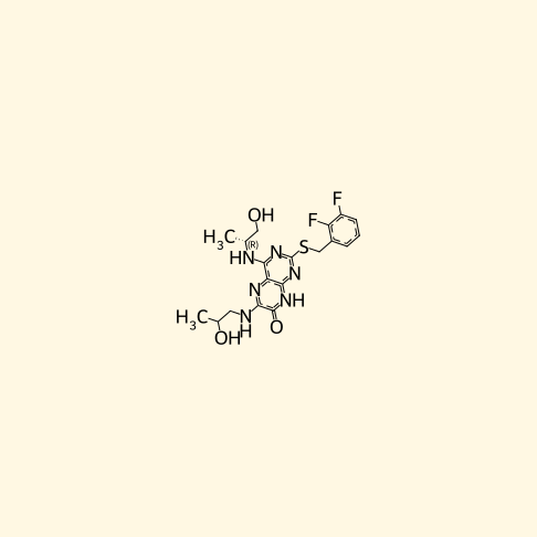 CC(O)CNc1nc2c(N[C@H](C)CO)nc(SCc3cccc(F)c3F)nc2[nH]c1=O